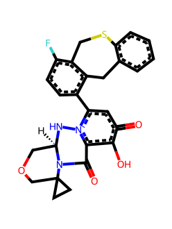 O=C1c2c(O)c(=O)cc(-c3ccc(F)c4c3Cc3ccccc3SC4)n2N[C@@H]2COCC3(CC3)N12